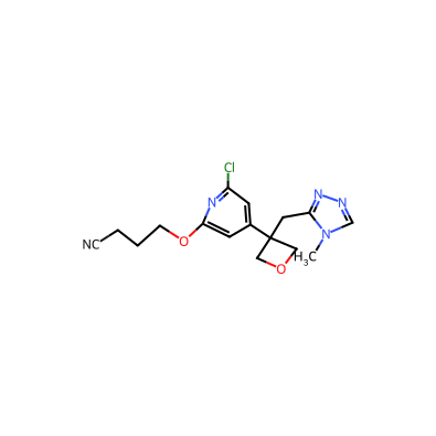 Cn1cnnc1CC1(c2cc(Cl)nc(OCCCC#N)c2)COC1